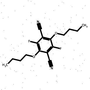 CCCCOc1c(F)c(C#N)c(OCCCC)c(F)c1C#N